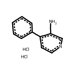 Cl.Cl.Nc1cnccc1-c1ccccc1